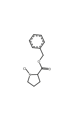 O=C(OCc1ccccc1)C1CCCN1Cl